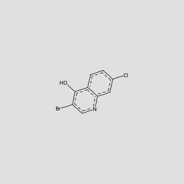 Oc1c(Br)cnc2cc(Cl)ccc12